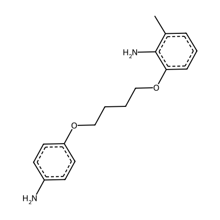 Cc1cccc(OCCCCOc2ccc(N)cc2)c1N